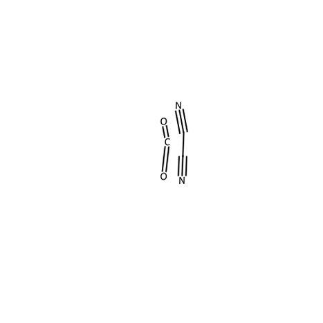 N#CC#N.O=C=O